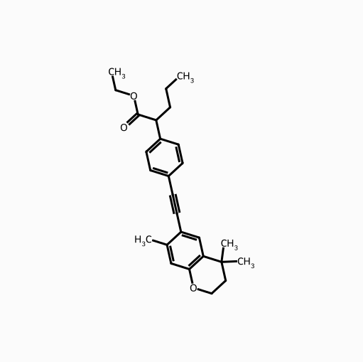 CCCC(C(=O)OCC)c1ccc(C#Cc2cc3c(cc2C)OCCC3(C)C)cc1